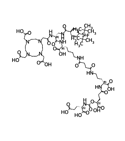 CC(C)(C)[Si](F)(c1ccc(C(=O)NC[C@@H](NC(=O)CN2CCN(CC(=O)O)CCN(CC(=O)O)CCN(CC(=O)O)CC2)C(=O)N[C@H](CCCCNC(=O)CCC(=O)NCCC[C@@H](NC(=O)CC[C@H](OC(=O)N[C@@H](CCC(=O)O)C(=O)O)C(=O)O)C(=O)O)C(=O)O)cc1)C(C)(C)C